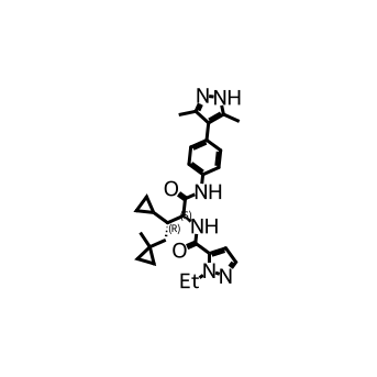 CCn1nccc1C(=O)N[C@H](C(=O)Nc1ccc(-c2c(C)n[nH]c2C)cc1)[C@H](CC1(C)CC1)C1CC1